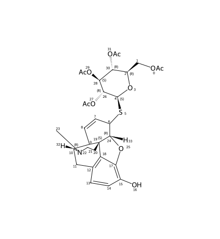 CC(=O)OC[C@H]1O[C@@H](SC2C=CC3[C@H]4Cc5ccc(O)c6c5[C@@]3(CCN4C)[C@H]2O6)[C@H](OC(C)=O)[C@@H](OC(C)=O)[C@@H]1OC(C)=O